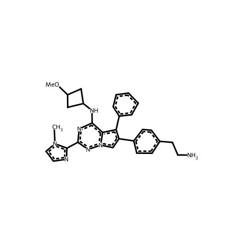 COC1CC(Nc2nc(-c3nccn3C)nn3cc(-c4ccc(CCN)cc4)c(-c4ccccc4)c23)C1